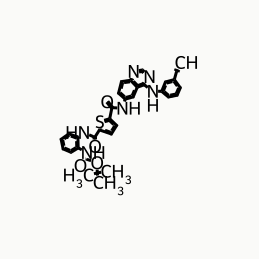 C#Cc1cccc(Nc2ncnc3ccc(NC(=O)c4ccc(C(=O)Nc5ccccc5NC(=O)OC(C)(C)C)s4)cc23)c1